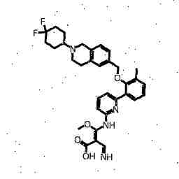 CO/C(Nc1cccc(-c2cccc(C)c2OCc2ccc3c(c2)CCN(C2CCC(F)(F)CC2)C3)n1)=C(/C=N)C(=O)O